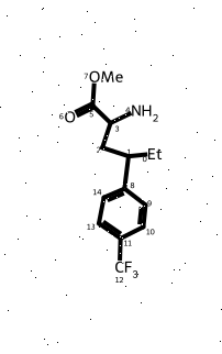 CCC(CC(N)C(=O)OC)c1ccc(C(F)(F)F)cc1